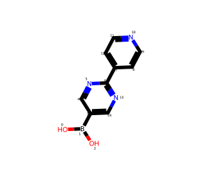 OB(O)c1cnc(-c2ccncc2)nc1